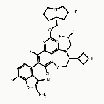 N#Cc1c(N)sc2c(F)ccc(-c3c(Cl)c4c5c(nc(OC[C@@]67CCCN6C[C@H](F)C7)nc5c3F)N(CC(F)F)C(C3CNC3)CO4)c12